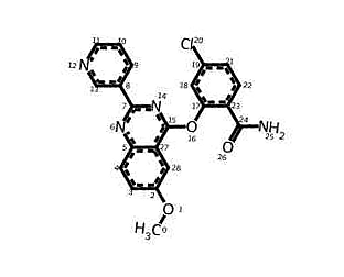 COc1ccc2nc(-c3cccnc3)nc(Oc3cc(Cl)ccc3C(N)=O)c2c1